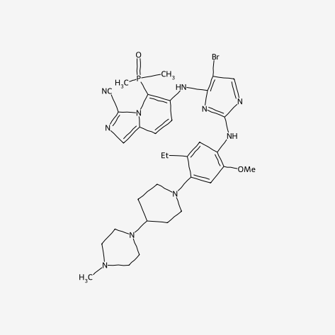 CCc1cc(Nc2ncc(Br)c(Nc3ccc4cnc(C#N)n4c3P(C)(C)=O)n2)c(OC)cc1N1CCC(N2CCN(C)CC2)CC1